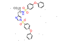 O=C(O)[C@H](Cc1cn(S(=O)(=O)c2ccc(Oc3ccccc3)cc2)cn1)NS(=O)(=O)c1ccc(Oc2ccccc2)cc1